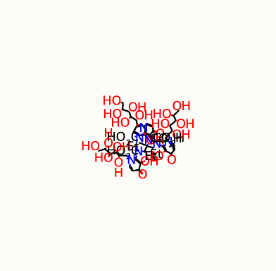 CCC(N(C(=O)O)c1c(O)c(=O)ccn1CC(O)C(O)C(O)C(O)CO)C(C(CC)N(C(=O)O)c1c(O)c(=O)ccn1CC(O)C(O)C(O)C(O)CO)(C(CC)N(C(=O)O)c1c(O)c(=O)ccn1CC(O)C(O)C(O)C(O)CO)N(C(=O)O)c1ccccc1